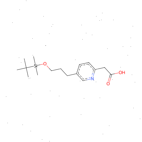 CC(C)(C)[Si](C)(C)OCCCc1ccc(CC(=O)O)nc1